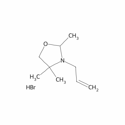 Br.C=CCN1C(C)OCC1(C)C